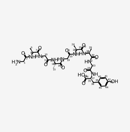 C[C@H](NC(=O)CN)C(=O)NCC(=O)N[C@@H](C)C(=O)NCC(=O)N[C@@H](C)C(=O)N[C@@H](C)C(=O)NCC(=O)N[C@@H](Cc1ccc(O)cc1)C(=O)O